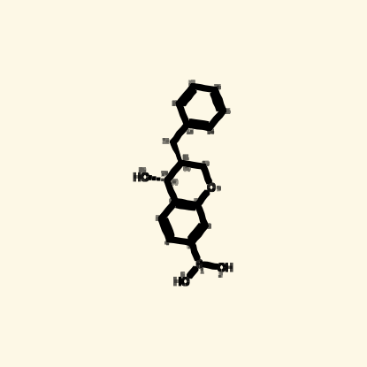 OB(O)c1ccc2c(c1)OC[C@H](Cc1ccccc1)[C@H]2O